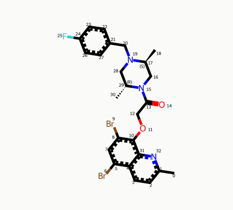 Cc1ccc2c(Br)cc(Br)c(OCC(=O)N3C[C@H](C)N(Cc4ccc(F)cc4)C[C@H]3C)c2n1